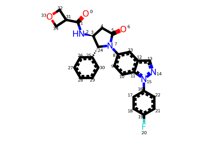 O=C(N[C@H]1CC(=O)N(c2ccc3c(cnn3-c3ccc(F)cc3)c2)[C@@H]1c1ccccc1)C1COC1